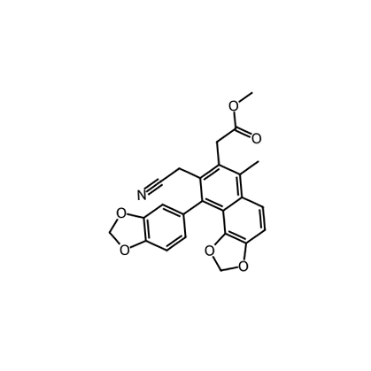 COC(=O)Cc1c(CC#N)c(-c2ccc3c(c2)OCO3)c2c3c(ccc2c1C)OCO3